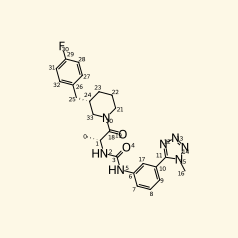 C[C@@H](NC(=O)Nc1cccc(-c2nnnn2C)c1)C(=O)N1CCC[C@@H](Cc2ccc(F)cc2)C1